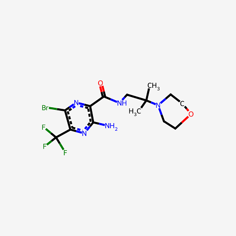 CC(C)(CNC(=O)c1nc(Br)c(C(F)(F)F)nc1N)N1CCOCC1